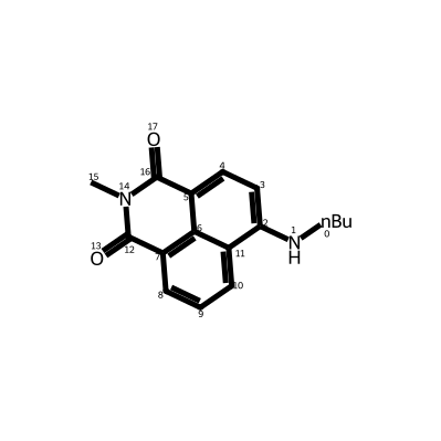 CCCCNc1ccc2c3c(cccc13)C(=O)N(C)C2=O